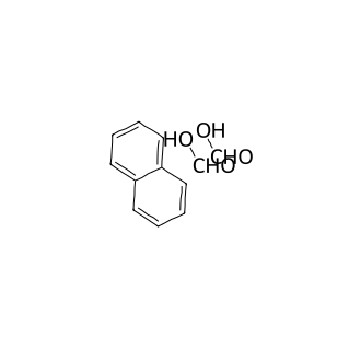 O=CO.O=CO.c1ccc2ccccc2c1